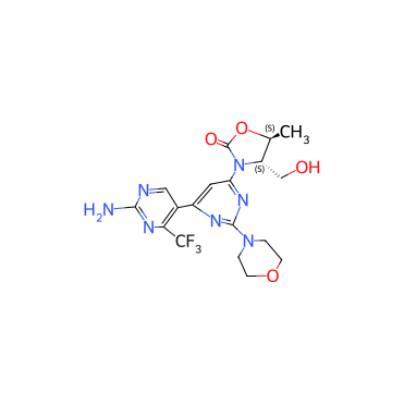 C[C@@H]1OC(=O)N(c2cc(-c3cnc(N)nc3C(F)(F)F)nc(N3CCOCC3)n2)[C@H]1CO